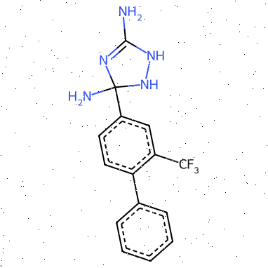 NC1=NC(N)(c2ccc(-c3ccccc3)c(C(F)(F)F)c2)NN1